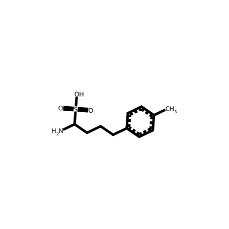 Cc1ccc(CCCC(N)S(=O)(=O)O)cc1